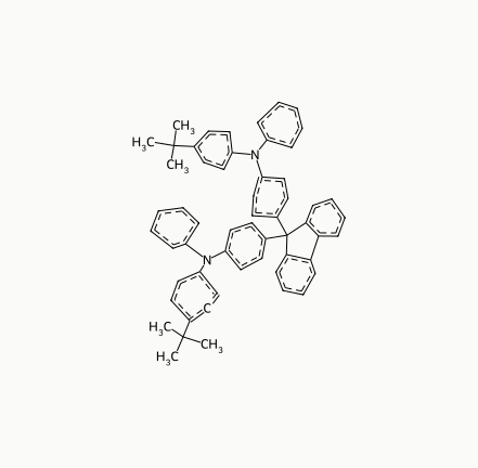 CC(C)(C)c1ccc(N(c2ccccc2)c2ccc(C3(c4ccc(N(c5ccccc5)c5ccc(C(C)(C)C)cc5)cc4)c4ccccc4-c4ccccc43)cc2)cc1